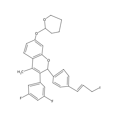 CC1=C(c2cc(F)cc(F)c2)C(c2ccc(/C=C/CI)cc2)Oc2cc(OC3CCCCO3)ccc21